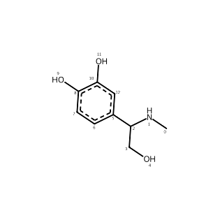 CNC(CO)c1ccc(O)c(O)c1